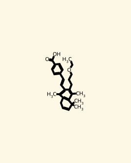 CCOCCCc1c(C)c2c(c(C)c1C=Cc1ccc(C(=O)O)cc1)CC=CC2(C)C